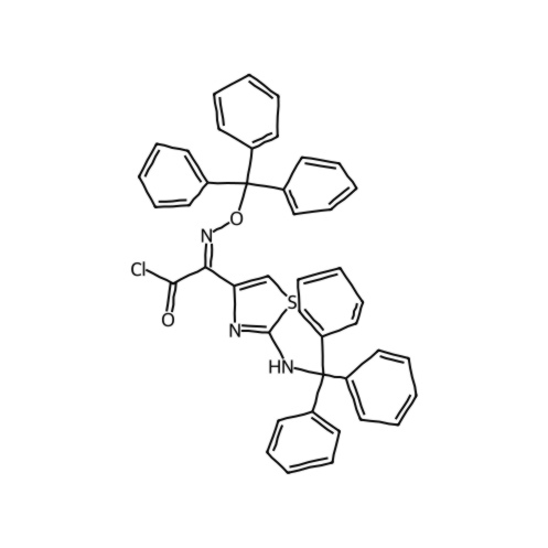 O=C(Cl)/C(=N/OC(c1ccccc1)(c1ccccc1)c1ccccc1)c1csc(NC(c2ccccc2)(c2ccccc2)c2ccccc2)n1